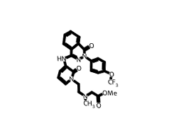 COC(=O)CN(C)CCn1cccc(Nc2nn(-c3ccc(OC(F)(F)F)cc3)c(=O)c3ccccc23)c1=O